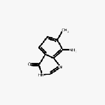 Cc1ccc2c(=O)[nH]cnc2c1N